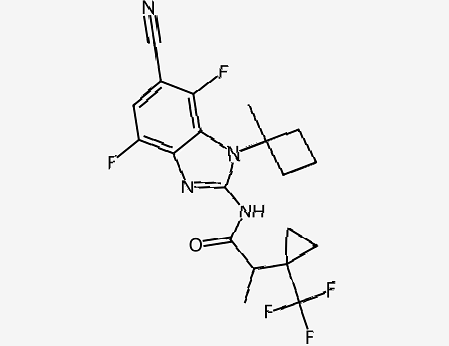 CC(C(=O)Nc1nc2c(F)cc(C#N)c(F)c2n1C1(C)CCC1)C1(C(F)(F)F)CC1